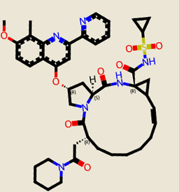 COc1ccc2c(O[C@@H]3C[C@H]4C(=O)N[C@]5(C(=O)NS(=O)(=O)C6CC6)CC5C=CCCCCC[C@H](CC(=O)N5CCCCC5)C(=O)N4C3)cc(-c3ccccn3)nc2c1C